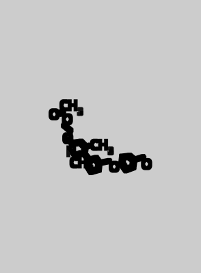 CC(=O)OCCOc1cc(C)c(-c2cccc(COc3ccc(C=O)cc3)c2)c(C)n1